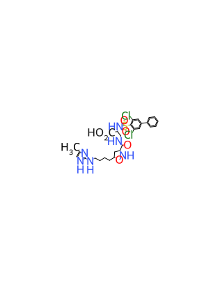 Cc1c[nH]c(NCCCCC2CC(C(=O)NCC(NS(=O)(=O)c3c(Cl)cc(-c4ccccc4)cc3Cl)C(=O)O)NO2)n1